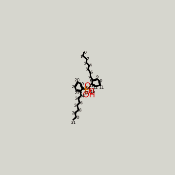 CCCCCCCCc1ccccc1OP(=O)(O)c1ccccc1CCCCCCCC